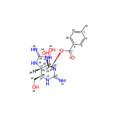 Cc1ccc(C(=O)O[C@H]2CN3C(=N)N[C@@H](CO)[C@@H]4NC(=N)N[C@@]43C2(O)O)cc1